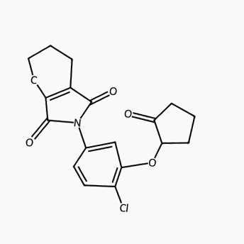 O=C1CCCC1Oc1cc(N2C(=O)C3=C(CCCC3)C2=O)ccc1Cl